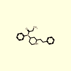 CCC(=O)N(c1ccccc1)C1CCNC(CCc2ccccc2)C1